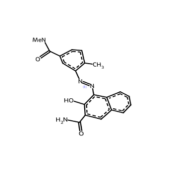 CNC(=O)c1ccc(C)c(/N=N/c2c(O)c(C(N)=O)cc3ccccc23)c1